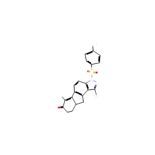 CCc1nn(S(=O)(=O)c2ccc(C)cc2)c2ccc3c(c12)CC1CCC(=O)C(C)=C31